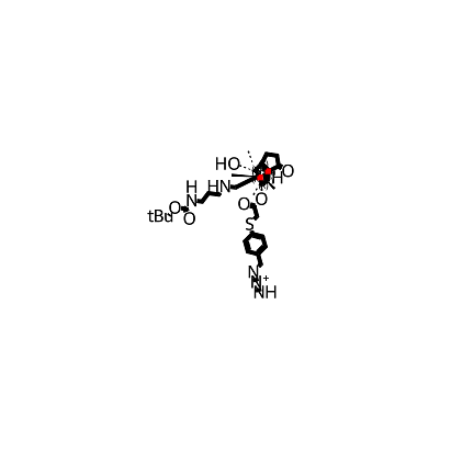 C[C@@H]1CC[C@@]23CCC(=O)[C@H]2[C@]1(C)[C@H](OC(=O)CSc1ccc(CN=[N+]=N)cc1)C[C@](C)(CNCCCNC(=O)OC(C)(C)C)[C@@H](O)[C@@H]3C